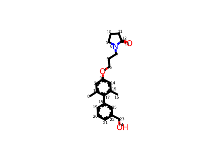 Cc1cc(OCCCN2CCCC2=O)cc(C)c1-c1cccc(CO)c1